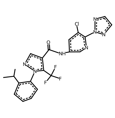 CC(C)c1ccccc1-n1ncc(C(=O)Nc2cnc(-n3nccn3)c(Cl)c2)c1C(F)(F)F